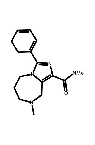 CNC(=O)c1nc(C2=CC=CCC2)n2c1CN(C)CCC2